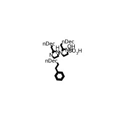 CCCCCCCCCCCC1=NCCN1.CCCCCCCCCCCC1=NCCN1.CCCCCCCCCCCCc1ccccc1.O=S(=O)(O)O